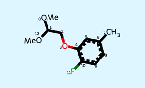 COC(COc1cc(C)ccc1F)OC